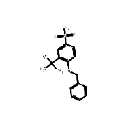 CC(C)(C)c1cc(S(C)(=O)=O)ccc1OCc1ccccc1